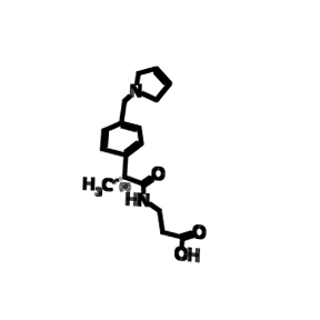 C[C@@H](C(=O)NCCC(=O)O)c1ccc(CN2CC=CC2)cc1